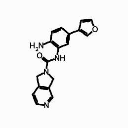 Nc1ccc(-c2ccoc2)cc1NC(=O)N1Cc2ccncc2C1